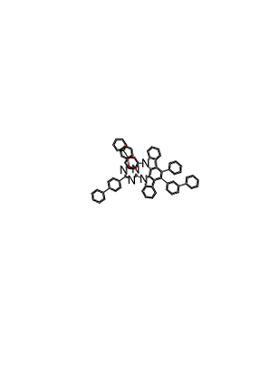 c1ccc(-c2ccc(-c3nc(-c4ccccc4)nc(-n4c5ccccc5c5c(-c6cccc(-c7ccccc7)c6)c(-c6ccccc6)c6c7ccccc7n(-c7cccc(-c8ccccc8)c7)c6c54)n3)cc2)cc1